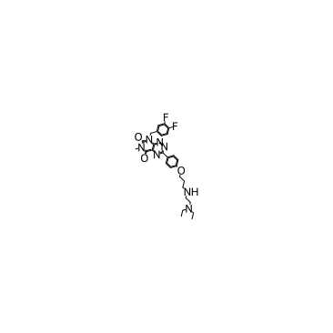 CCN(CC)CCNCCCOc1ccc(-c2nnc3c(n2)c(=O)n(C)c(=O)n3Cc2ccc(F)c(F)c2)cc1